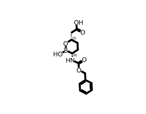 O=C(O)C[C@@H]1CC[C@H](NC(=O)OCc2ccccc2)B(O)O1